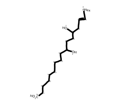 CCCCCCC=CCC(O)CCC(O)CCCCCCCCC(=O)O